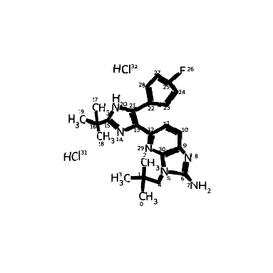 CC(C)(C)Cn1c(N)nc2ccc(-c3nc(C(C)(C)C)[nH]c3-c3ccc(F)cc3)nc21.Cl.Cl